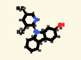 Cc1cnc(-n2c3ccccc3c3ccc(O)cc32)c(C)c1